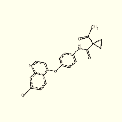 CC(=O)C1(C(=O)Nc2ccc(Oc3ccnc4cc(Cl)ccc34)cc2)CC1